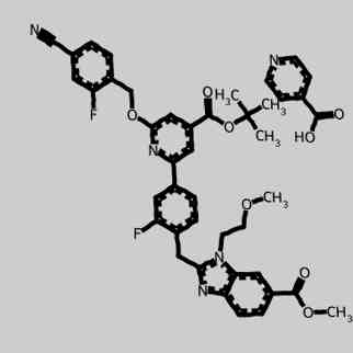 COCCn1c(Cc2ccc(-c3cc(C(=O)OC(C)(C)C)cc(OCc4ccc(C#N)cc4F)n3)cc2F)nc2ccc(C(=O)OC)cc21.O=C(O)c1ccncc1